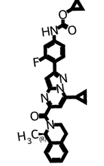 C[C@@H]1c2ccccc2CCN1C(=O)c1cc(C2CC2)n2nc(-c3ccc(NC(=O)OC4CC4)cc3F)cc2n1